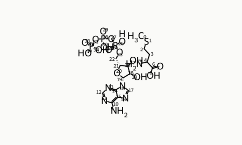 CSCCC(N)C(=O)O.Nc1ncnc2c1ncn2[C@@H]1O[C@H](COP(=O)(O)OP(=O)(O)OP(=O)(O)O)[C@@H](O)[C@H]1O